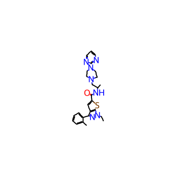 CCn1nc(-c2ccccc2C)c2cc(C(=O)NC(C)CN3CCN(c4ncccn4)CC3)sc21